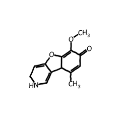 COC1=C2OC3=CCNC=C3C2C(C)=CC1=O